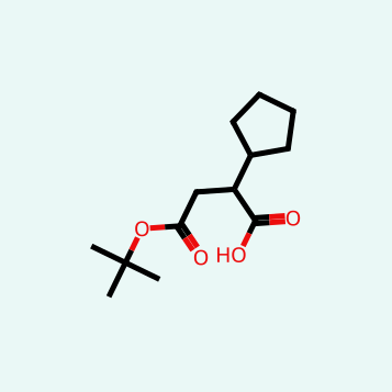 CC(C)(C)OC(=O)CC(C(=O)O)C1CCCC1